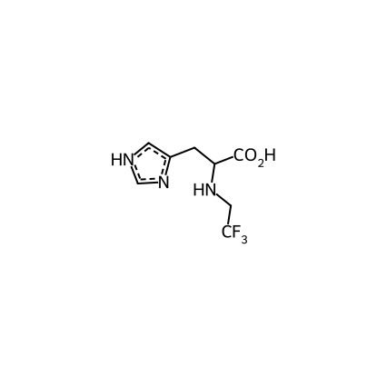 O=C(O)C(Cc1c[nH]cn1)NCC(F)(F)F